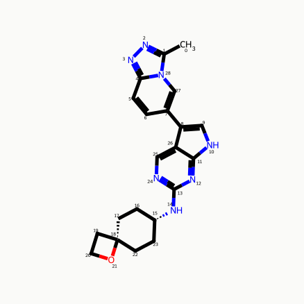 Cc1nnc2ccc(-c3c[nH]c4nc(N[C@H]5CC[C@]6(CCO6)CC5)ncc34)cn12